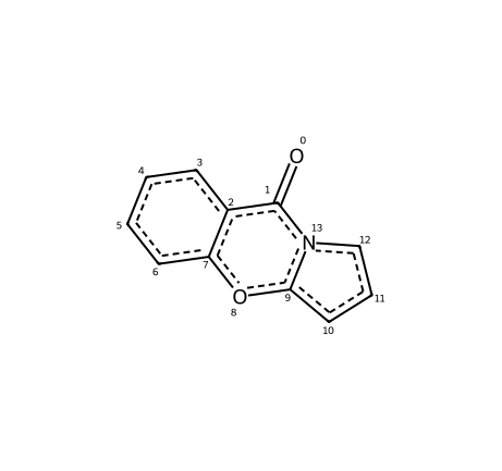 O=c1c2ccccc2oc2cccn12